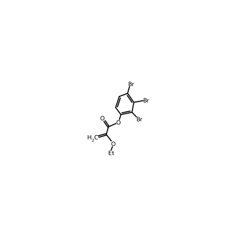 C=C(OCC)C(=O)Oc1ccc(Br)c(Br)c1Br